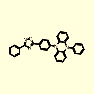 c1ccc(-c2noc(-c3ccc(N4c5ccccc5N(c5ccccc5)c5ccccc54)cc3)n2)cc1